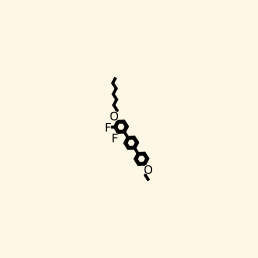 CCCCCCCOc1ccc(-c2ccc(-c3ccc(OCC)cc3)cc2)c(F)c1F